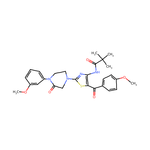 COc1ccc(C(=O)c2sc(N3CCN(c4cccc(OC)c4)C(=O)C3)nc2NC(=O)C(C)(C)C)cc1